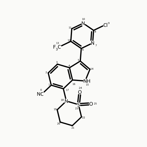 N#Cc1ccc2c(-c3nc(Cl)ncc3C(F)(F)F)c[nH]c2c1N1CCCCS1(=O)=O